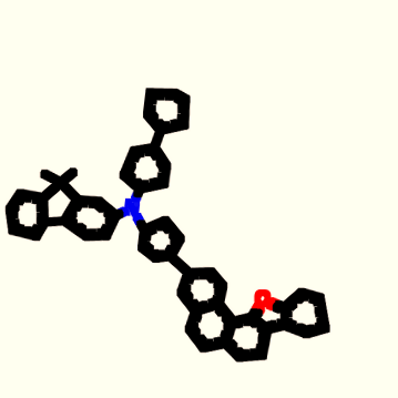 CC1(C)c2ccccc2-c2ccc(N(c3ccc(-c4ccccc4)cc3)c3ccc(-c4ccc5c(ccc6ccc7c8ccccc8oc7c65)c4)cc3)cc21